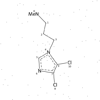 CNCCCn1cnc(Cl)c1Cl